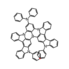 c1ccc(N(c2ccccc2)c2cc3c4c(c2)-n2c5ccccc5c5c6c7ccccc7n(-c7ccccc7)c6cc(c52)B4c2cc4c(c5ccccc5n4-c4ccccc4)c4c5ccccc5n-3c24)cc1